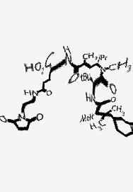 CN[C@H](C(=O)N[C@H](C(=O)N(C)[C@H](/C=C(\C)C(=O)N[C@H](CCC(=O)NCCN1C(=O)C=CC1=O)C(=O)O)C(C)C)C(C)(C)C)C(C)(C)C1CCCCC1